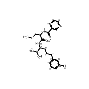 COCC(NC(=O)c1cnccn1)C(=O)N[C@@H](CCCc1cccc(Cl)c1)B(O)O